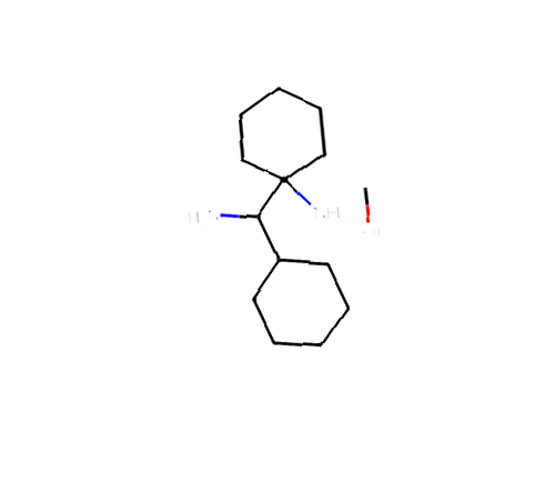 CO.NC(C1CCCCC1)C1(N)CCCCC1